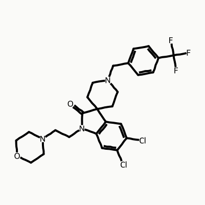 O=C1N(CCN2CCOCC2)c2cc(Cl)c(Cl)cc2C12CCN(Cc1ccc(C(F)(F)F)cc1)CC2